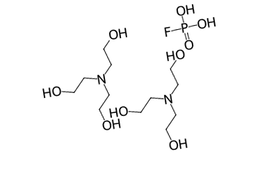 O=P(O)(O)F.OCCN(CCO)CCO.OCCN(CCO)CCO